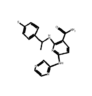 CC(Nc1nc(Nc2cnccn2)ccc1C(N)=O)c1ccc(F)cc1